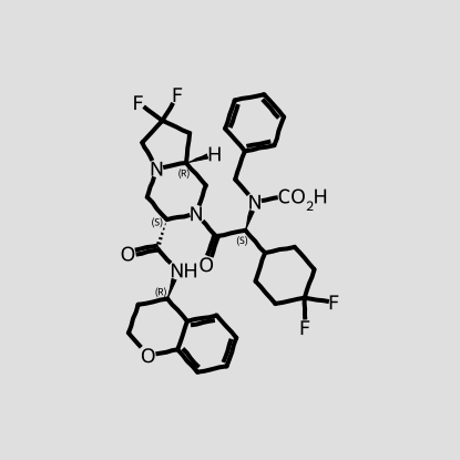 O=C(N[C@@H]1CCOc2ccccc21)[C@@H]1CN2CC(F)(F)C[C@@H]2CN1C(=O)[C@H](C1CCC(F)(F)CC1)N(Cc1ccccc1)C(=O)O